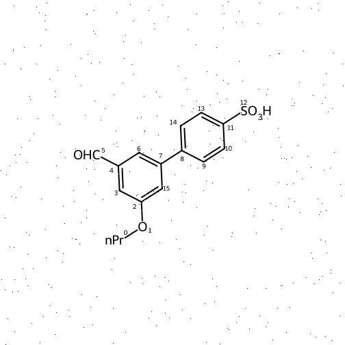 CCCOc1cc(C=O)cc(-c2ccc(S(=O)(=O)O)cc2)c1